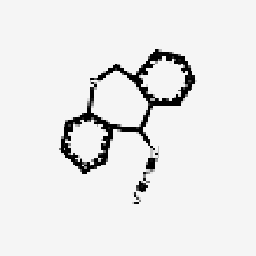 S=C=NC1c2ccccc2CSc2ccccc21